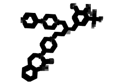 Nc1c(Cl)cc(C[C@@H](CCN2CCC(N3CCc4ccccc4NC3=O)CC2)CN2CCN(c3ccncc3)CC2)cc1C(F)(F)F